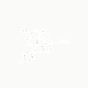 Cc1c(CCC(=O)O)ccc(CCc2ccc(Cl)cc2)c1C1=C(c2ncco2)C(C(N)=O)CCC1